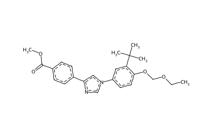 CCOCOc1ccc(-n2cnc(-c3ccc(C(=O)OC)cc3)c2)cc1C(C)(C)C